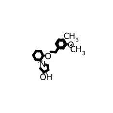 COc1cc(CCO[C@@H]2CCCC[C@H]2N2CC[C@@H](O)C2)ccc1C